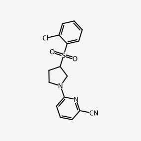 N#Cc1cccc(N2CCC(S(=O)(=O)c3ccccc3Cl)C2)n1